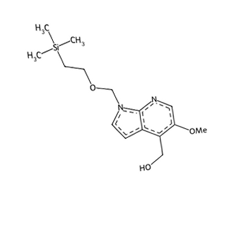 COc1cnc2c(ccn2COCC[Si](C)(C)C)c1CO